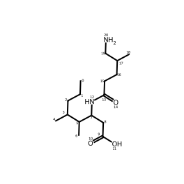 CCCC(C)C(C)C(CC(=O)O)NC(=O)CCC(C)CN